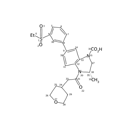 CCS(=O)(=O)c1cccc(-c2ccc3c(c2)N(C(=O)O)C[C@H](C)N3C(=O)CC2CCOCC2)c1